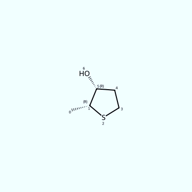 C[C@H]1SCC[C@H]1O